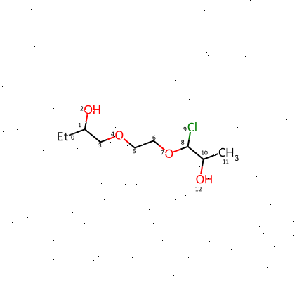 CCC(O)COCCOC(Cl)C(C)O